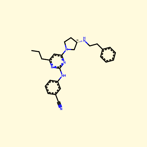 CCCc1cc(N2CC[C@H](NCCc3ccccc3)C2)nc(Nc2cccc(C#N)c2)n1